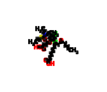 CCCCC[C@H]1O[C@H]1C/C=C\CCCCCCCC(=O)O.CCCSC(=O)N(CCC)CCC.O=C(O)CCCOc1ccc(Cl)cc1Cl